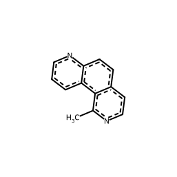 Cc1nccc2ccc3ncccc3c12